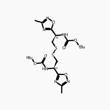 Cc1noc([C@H](CSSC[C@H](NC(=O)OC(C)(C)C)c2nc(C)no2)NC(=O)OC(C)(C)C)n1